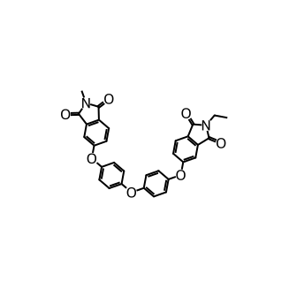 CCN1C(=O)c2ccc(Oc3ccc(Oc4ccc(Oc5ccc6c(c5)C(=O)N(C)C6=O)cc4)cc3)cc2C1=O